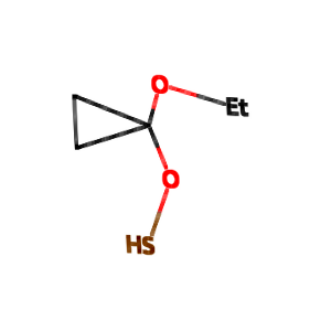 CCOC1(OS)CC1